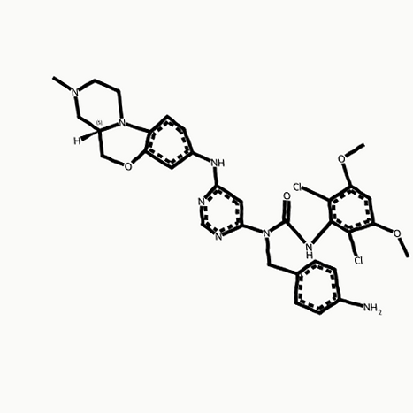 COc1cc(OC)c(Cl)c(NC(=O)N(Cc2ccc(N)cc2)c2cc(Nc3ccc4c(c3)OC[C@@H]3CN(C)CCN43)ncn2)c1Cl